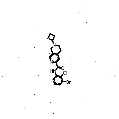 O=C(Nc1cccc(Br)c1Cl)c1cc2c(cn1)CN(C1CCC1)CC2